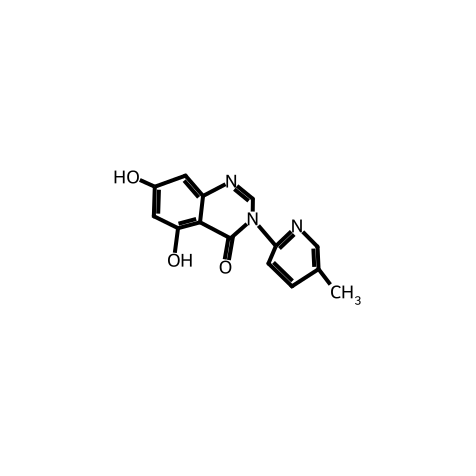 Cc1ccc(-n2cnc3cc(O)cc(O)c3c2=O)nc1